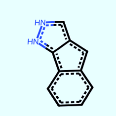 c1ccc2c3[nH][nH]cc-3cc2c1